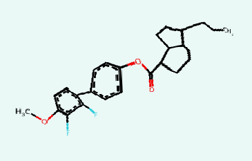 CCCC1CCC2C(C(=O)Oc3ccc(-c4ccc(OC)c(F)c4F)cc3)CCC12